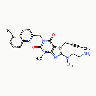 CC#CCn1c(N(C)CCN)nc2c1c(=O)n(Cc1ccc3c(C#N)cccc3n1)c(=O)n2C